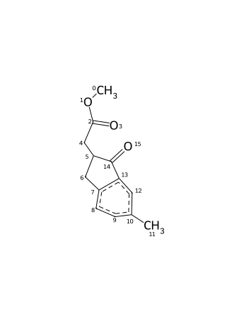 COC(=O)CC1Cc2ccc(C)cc2C1=O